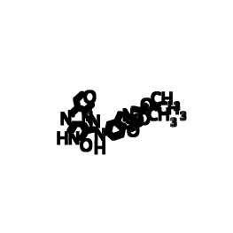 CC(C)(C)OC(=O)CN1Cc2cc(Nc3nn([C@H]4COCCC4C#N)c4cc[nH]c(=O)c34)ccc2S1(=O)=O